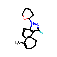 CC1=CCCCc2c1ccc1c2c(F)nn1C1CCCCO1